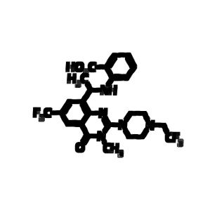 CC(Nc1ccccc1C(=O)O)c1cc(C(F)(F)F)cc2c(=O)n(C)c(N3CCN(CC(F)(F)F)CC3)nc12